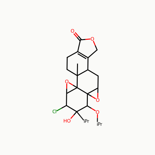 CC(C)OC1C(O)(C(C)C)C(Cl)C2OC23C2(C)CCC4=C(COC4=O)C2CC2OC213